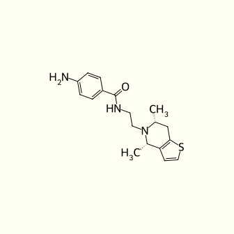 C[C@@H]1Cc2sccc2[C@H](C)N1CCNC(=O)c1ccc(N)cc1